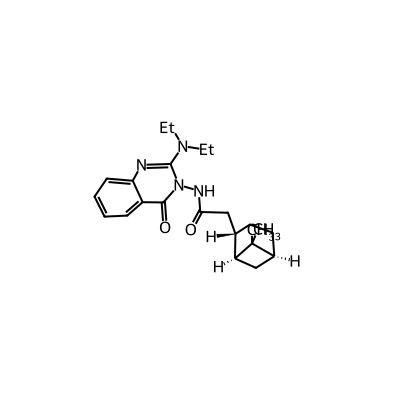 CCN(CC)c1nc2ccccc2c(=O)n1NC(=O)C[C@@H]1CC[C@H]2C[C@@H]1C2(C)C